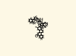 CC1C=c2c(ccc3c2=CC(=O)c2ccccc2-3)C(C)(N2CN(CC(=O)Nc3nc(-c4ccccc4Br)cs3)c3cncnc32)C1=O